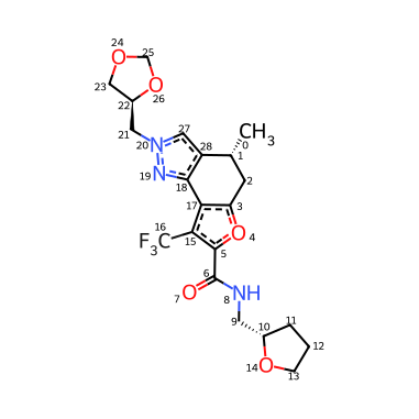 C[C@@H]1Cc2oc(C(=O)NC[C@@H]3CCCO3)c(C(F)(F)F)c2-c2nn(C[C@H]3COCO3)cc21